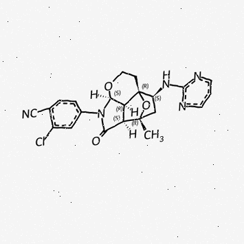 C[C@@]12C[C@H](Nc3ncccn3)[C@]3(CCO[C@H]4[C@@H]3[C@@H]1C(=O)N4c1ccc(C#N)c(Cl)c1)O2